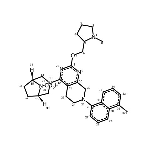 CN1CCCC1COc1nc2c(c(N3C[C@H]4CC[C@@H](C3)N4C(=O)O)n1)CCN(c1cccc3c(F)cccc13)C2